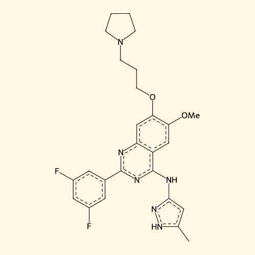 COc1cc2c(Nc3cc(C)[nH]n3)nc(-c3cc(F)cc(F)c3)nc2cc1OCCCN1CCCC1